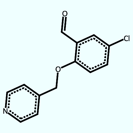 O=Cc1cc(Cl)ccc1OCc1ccncc1